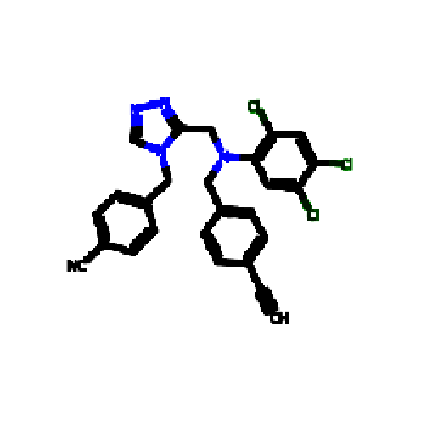 C#Cc1ccc(CN(Cc2nncn2Cc2ccc(C#N)cc2)c2cc(Cl)c(Cl)cc2Cl)cc1